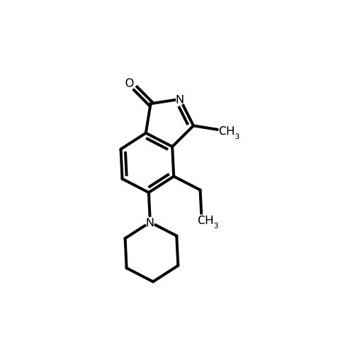 CCc1c(N2CCCCC2)ccc2c1C(C)=NC2=O